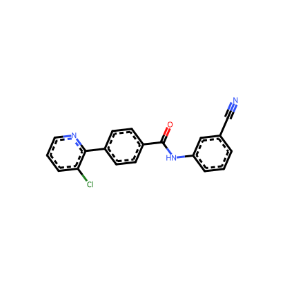 N#Cc1cccc(NC(=O)c2ccc(-c3ncccc3Cl)cc2)c1